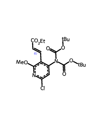 CCOC(=O)/C=C/c1c(N(C(=O)OC(C)(C)C)C(=O)OC(C)(C)C)cc(Cl)nc1OC